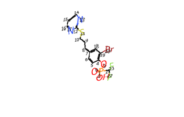 O=P(O)(Oc1ccc(CCCSc2ncccn2)cc1Br)C(F)F